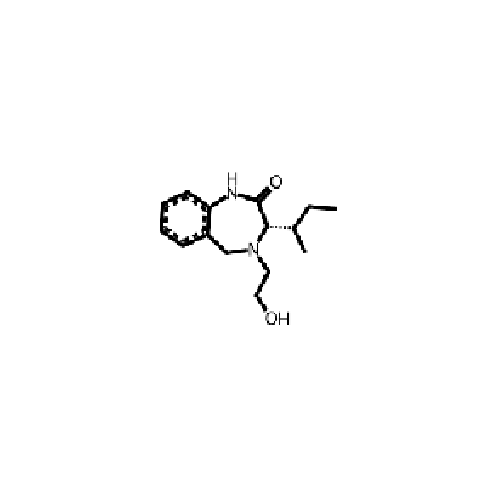 CCC(C)[C@H]1C(=O)Nc2ccccc2CN1CCO